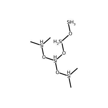 C[SiH](C)O[SiH](O[SiH2]O[SiH3])O[SiH](C)C